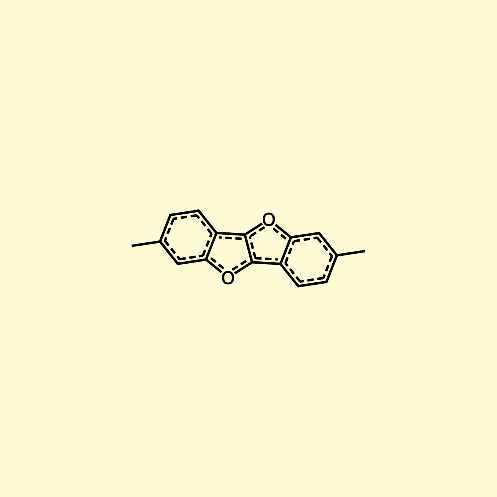 Cc1ccc2c(c1)oc1c3ccc(C)cc3oc21